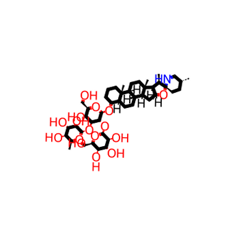 C[C@@H]1CC[C@@]2(NC1)O[C@H]1C[C@H]3[C@@H]4CC[C@H]5C(O[C@@H]6O[C@H](CO)[C@@H](O)[C@H](O[C@@H]7O[C@@H](C)[C@H](O)[C@@H](O)[C@H]7O)[C@H]6O[C@@H]6O[C@H](CO)[C@@H](O)[C@H](O)[C@H]6O)CCC[C@]5(C)[C@H]4CC[C@]3(C)[C@H]1[C@H]2C